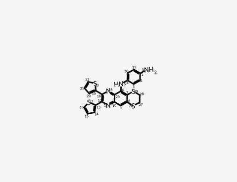 Nc1ccc(Nc2c3c(cc4nc(-c5cccs5)c(-c5cccs5)nc24)SCCS3)cc1